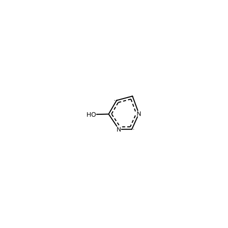 Oc1[c]cn[c]n1